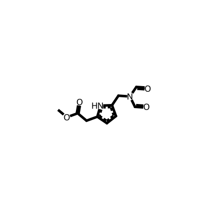 COC(=O)Cc1ccc(CN(C=O)C=O)[nH]1